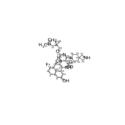 C#Cc1c(F)ccc2cc(O)cc(C3=Cc4nc(OCC5(CN(C)C)CC5)nc(N5CCC6(CC5)CNC6)c4S(=O)(=O)N3)c12